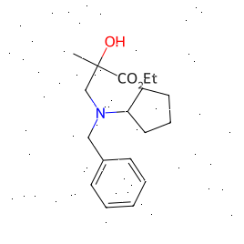 CCOC(=O)C(C)(O)CN(Cc1ccccc1)C1CCCC1